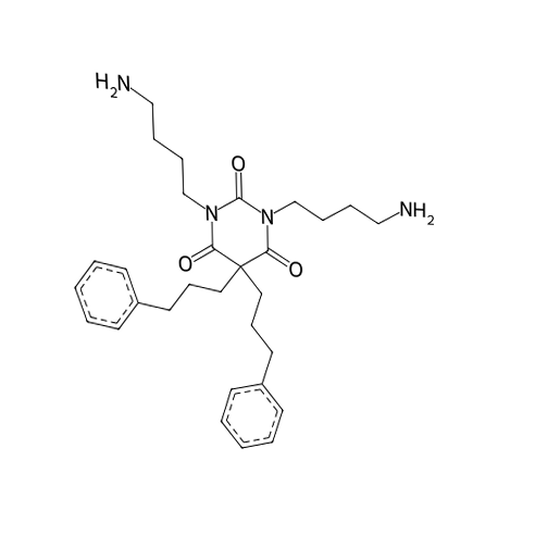 NCCCCN1C(=O)N(CCCCN)C(=O)C(CCCc2ccccc2)(CCCc2ccccc2)C1=O